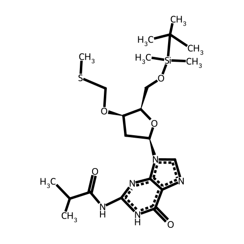 CSCO[C@@H]1C[C@H](n2cnc3c(=O)[nH]c(NC(=O)C(C)C)nc32)O[C@@H]1CO[Si](C)(C)C(C)(C)C